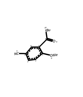 COc1ccc(C#N)cc1C(=O)C(C)(C)C